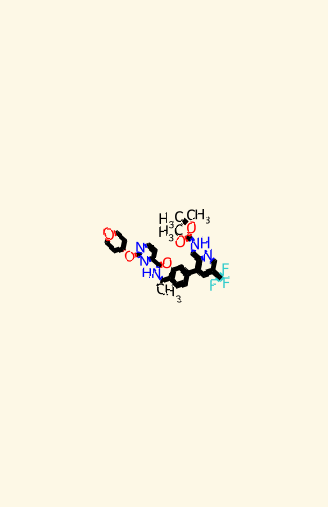 C[C@@H](NC(=O)c1ccnc(OC2CCOCC2)n1)c1ccc(-c2cc(C(F)(F)F)cnc2CNC(=O)OC(C)(C)C)cc1